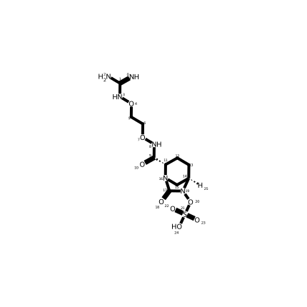 N=C(N)NOCCONC(=O)[C@@H]1CC[C@@H]2CN1C(=O)N2OS(=O)(=O)O